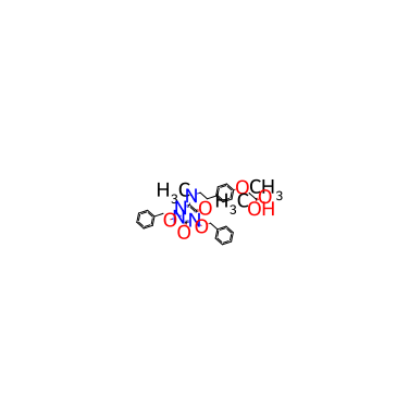 CN(CCc1ccc(OC(C)(C)C(=O)O)cc1)c1nn(OCc2ccccc2)c(=O)n(OCc2ccccc2)c1=O